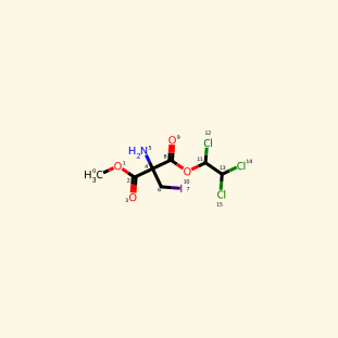 COC(=O)C(N)(CI)C(=O)OC(Cl)C(Cl)Cl